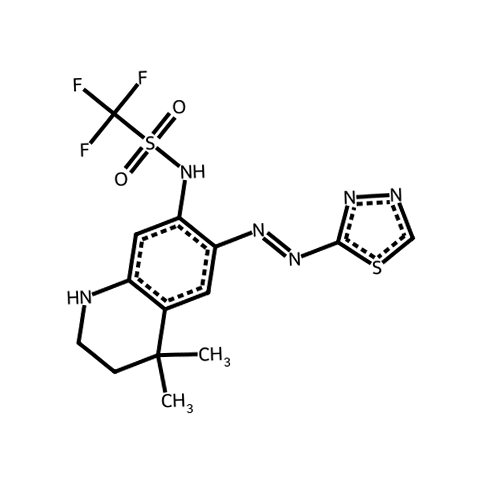 CC1(C)CCNc2cc(NS(=O)(=O)C(F)(F)F)c(N=Nc3nncs3)cc21